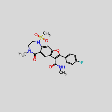 CNC(=O)c1c(-c2ccc(F)cc2)oc2cc3c(cc12)C(=O)N(C)CCN3S(C)(=O)=O